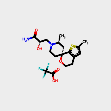 C[C@H]1C[C@@]2(CCN1C[C@H](O)C(N)=O)OCCc1cc(C(F)(F)F)sc12.O=C(O)C(F)(F)F